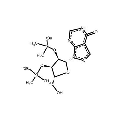 CC(C)(C)[Si](C)(C)O[C@@H]1[C@H](O[Si](C)(C)C(C)(C)C)[C@@H](CO)O[C@H]1n1ncc2c(=O)[nH]cnc21